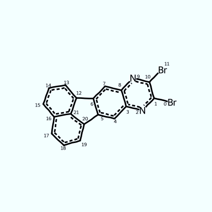 Brc1nc2cc3c(cc2nc1Br)-c1cccc2cccc-3c12